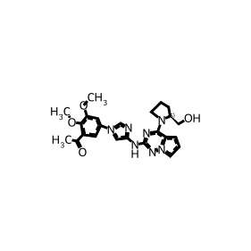 COc1cc(-n2cnc(Nc3nc(N4CCC[C@H]4CO)c4cccn4n3)c2)cc(C(C)=O)c1OC